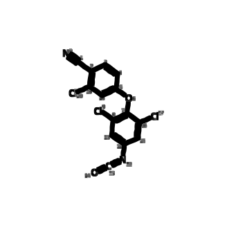 N#Cc1ccc(Oc2c(Cl)cc(N=C=O)cc2Cl)cc1Cl